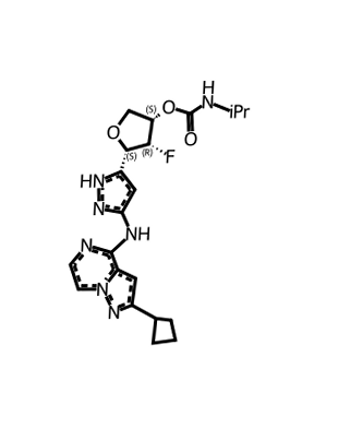 CC(C)NC(=O)O[C@H]1CO[C@@H](c2cc(Nc3nccn4nc(C5CCC5)cc34)n[nH]2)[C@H]1F